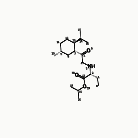 CC[C@@H](NCC(=O)[C@@H]1C[C@H](C)CC[C@H]1C(C)C)C(=O)OC(C)C